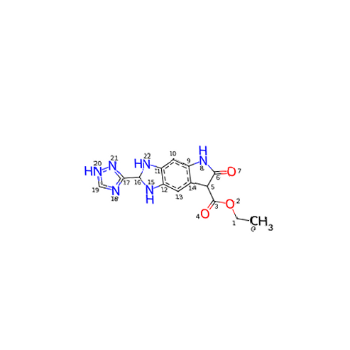 CCOC(=O)C1C(=O)Nc2cc3c(cc21)NC(c1nc[nH]n1)N3